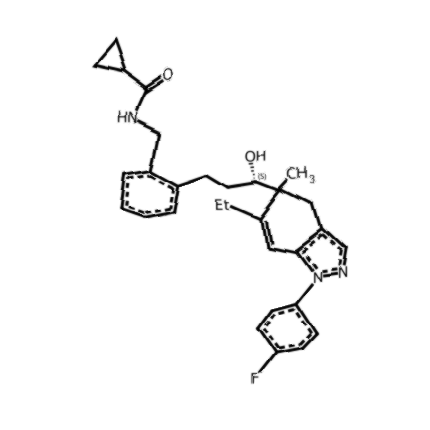 CCC1=Cc2c(cnn2-c2ccc(F)cc2)CC1(C)[C@@H](O)CCc1ccccc1CNC(=O)C1CC1